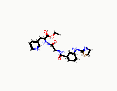 CCOC(=O)C(Cc1cccnc1)NC(=O)CNC(=O)c1cccc(NC2=NCCS2)c1